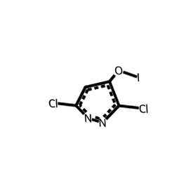 Clc1cc(OI)c(Cl)nn1